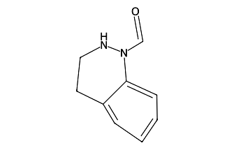 O=CN1NCCc2ccccc21